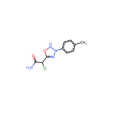 Cc1ccc(N2N=C(C(Cl)C(N)=O)ON2)cc1